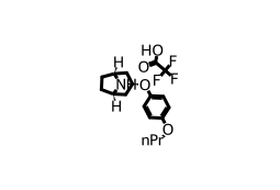 CCCOc1ccc(O[C@@H]2C[C@H]3CC[C@@H](C2)N3)cc1.O=C(O)C(F)(F)F